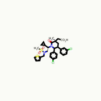 C[C@]1(CC(=O)O)CC(c2cccc(Cl)c2)C(c2ccc(Cl)cc2)N([C@H](CN(Cc2cccs2)S(C)(=O)=O)C2CC2)C1=O